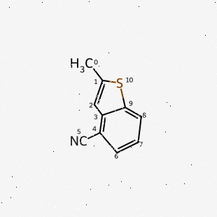 Cc1cc2c(C#N)cccc2s1